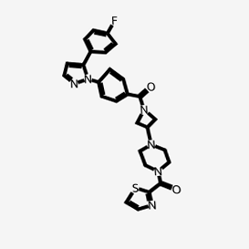 O=C(c1ccc(-n2nccc2-c2ccc(F)cc2)cc1)N1CC(N2CCN(C(=O)c3nccs3)CC2)C1